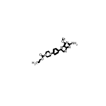 C=CCOC(=O)N1CCN(c2ccc(-c3cnc4nc(N)nc(OCC)c4n3)cc2)CC1